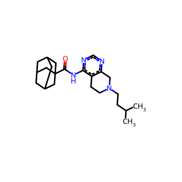 CC(C)CCN1CCc2c(ncnc2NC(=O)C23CC4CC(CC(C4)C2)C3)C1